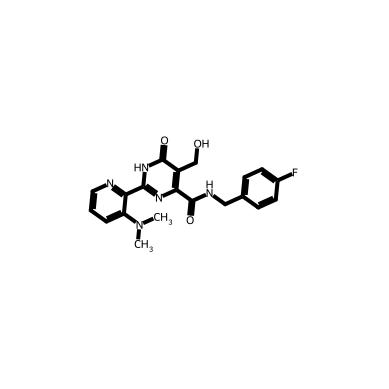 CN(C)c1cccnc1-c1nc(C(=O)NCc2ccc(F)cc2)c(CO)c(=O)[nH]1